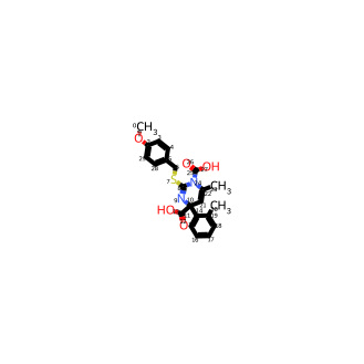 COc1ccc(CSC2=NC(C(=O)O)(c3ccccc3C)C=C(C)N2C(=O)O)cc1